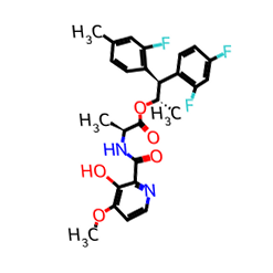 COc1ccnc(C(=O)N[C@@H](C)C(=O)O[C@@H](C)[C@@H](c2ccc(C)cc2F)c2ccc(F)cc2F)c1O